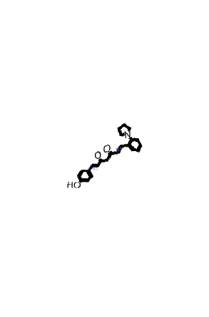 O=C(/C=C/c1ccc(O)cc1)CC(=O)/C=C/c1ccccc1N1CCCC1